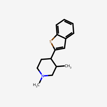 CC1CN(C)CCC1c1cc2ccccc2s1